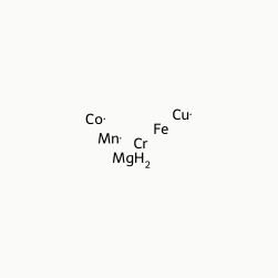 [Co].[Cr].[Cu].[Fe].[MgH2].[Mn]